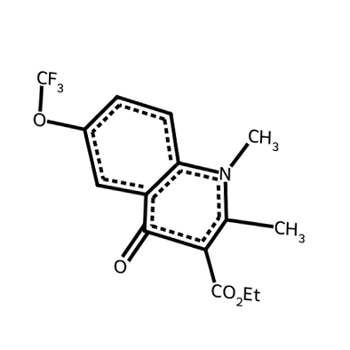 CCOC(=O)c1c(C)n(C)c2ccc(OC(F)(F)F)cc2c1=O